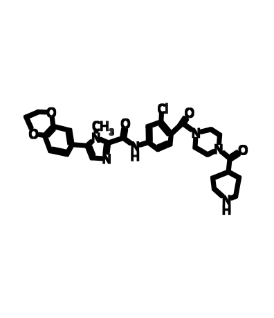 Cn1c(-c2ccc3c(c2)OCCO3)cnc1C(=O)Nc1ccc(C(=O)N2CCN(C(=O)C3CCNCC3)CC2)c(Cl)c1